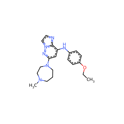 CCOc1ccc(Nc2cc(N3CCCN(C)CC3)nn3ccnc23)cc1